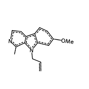 C=CCn1c2cc(OC)ccc2c2ccnc(C)c21